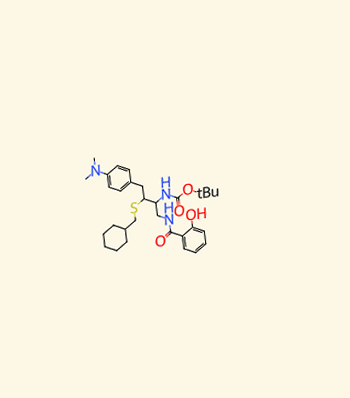 CN(C)c1ccc(CC(SCC2CCCCC2)C(CNC(=O)c2ccccc2O)NC(=O)OC(C)(C)C)cc1